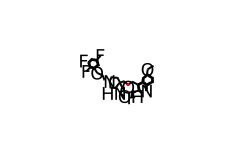 COc1ccc2ncc(CF)c(CCCC3(C(=O)NO)CCN(CCOc4cc(F)cc(F)c4F)CC3)c2c1